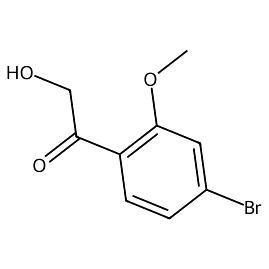 COc1cc(Br)ccc1C(=O)CO